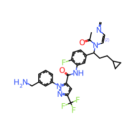 C=N/C=C\N(C(C)=O)C(CCC1CC1)c1ccc(F)c(NC(=O)c2cc(C(F)(F)F)nn2-c2cccc(CN)c2)c1